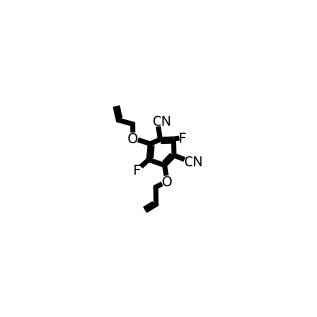 C=CCOc1c(F)c(OCC=C)c(C#N)c(F)c1C#N